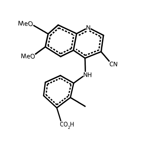 COc1cc2ncc(C#N)c(Nc3cccc(C(=O)O)c3C)c2cc1OC